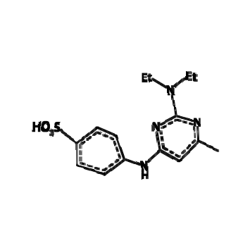 CCN(CC)c1nc(C)cc(Nc2ccc(S(=O)(=O)O)cc2)n1